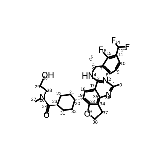 Cc1nc(N[C@H](C)c2cccc(C(F)F)c2F)c2cc([C@H]3CC[C@H](C(=O)N(C)CCO)CC3)c3c(c2n1)CCO3